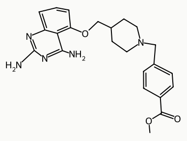 COC(=O)c1ccc(CN2CCC(COc3cccc4nc(N)nc(N)c34)CC2)cc1